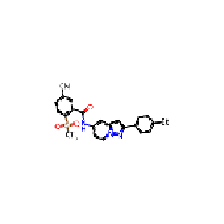 CCc1ccc(-c2cc3cc(NC(=O)c4cc(C#N)ccc4S(=O)(=O)C(F)(F)F)ccn3n2)cc1